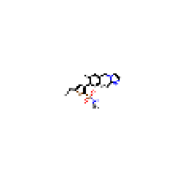 Cc1cc(Cn2ccnc2C(C)(C)C)ccc1-c1cc(CC(C)C)sc1S(=O)(=O)NC(C)(C)C